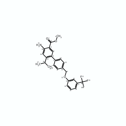 COC(=O)c1cc(-c2ccc(COc3cccc(C(F)(F)F)c3)cc2)c(C(C)C)cc1N